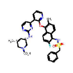 Cc1ccc2c(NS(=O)(=O)Cc3ccccc3)c(F)ccc2c1Oc1ncccc1-c1ccnc(N[C@H]2C[C@@H](C)CN(C(=O)O)C2)n1